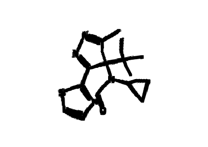 CC1=NN=C(c2nccs2)C1(N(C=O)C1CC1)C(C)(C)C